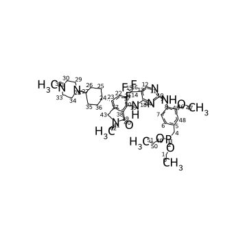 CCOP(Cc1ccc(Nc2ncc(C(F)(F)F)c(Nc3ccc([C@H]4CC[C@H](N5CCN(C)CC5)CC4)c4c3C(=O)N(C)C4)n2)c(OC)c1)OCC